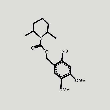 COc1cc(COC(=O)N2C(C)CCCC2C)c(N=O)cc1OC